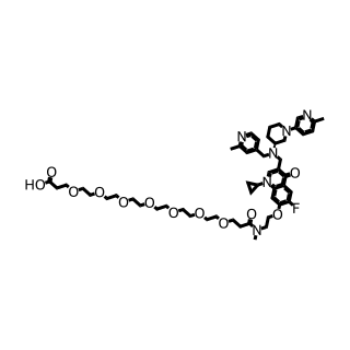 Cc1ccc(N2CCC[C@H](N(Cc3ccnc(C)c3)Cc3cn(C4CC4)c4cc(OCCN(C)C(=O)CCOCCOCCOCCOCCOCCOCCOCCC(=O)O)c(F)cc4c3=O)C2)cn1